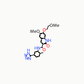 COCCOc1cc2[nH]c(=O)c(C(=O)Nc3cc(-c4nnn[nH]4)ccc3C)cc2cc1OC